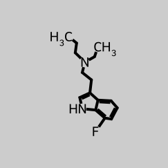 CCCN(CC)CCc1c[nH]c2c(F)cccc12